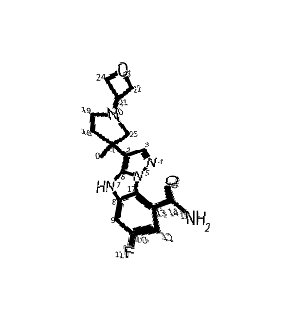 CC1(c2cnn3c2[nH]c2cc(F)cc(C(N)=O)c23)CCN(C2COC2)C1